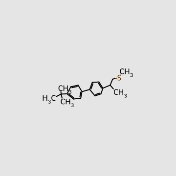 CSCC(C)c1ccc(-c2ccc(C(C)(C)C)cc2)cc1